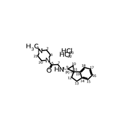 CN1CCN(C(=O)CN[C@@H]2C[C@@]23CCc2ccccc23)CC1.Cl.Cl